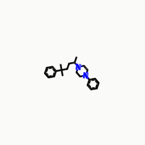 CC(CCC(C)(C)c1ccccc1)N1CCN(c2ccccc2)CC1